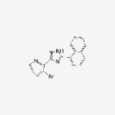 Brc1cccnc1-c1n[nH]c(-c2cccc3ccccc23)n1